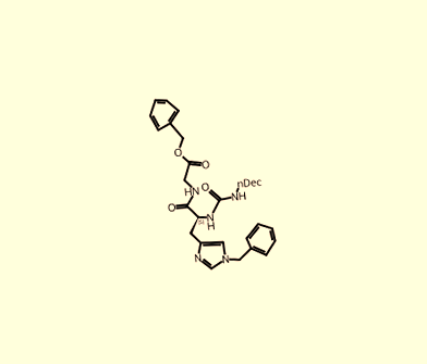 CCCCCCCCCCNC(=O)N[C@@H](Cc1cn(Cc2ccccc2)cn1)C(=O)NCC(=O)OCc1ccccc1